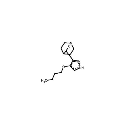 CCCCOc1c[nH]nc1C1CN2CCC1CC2